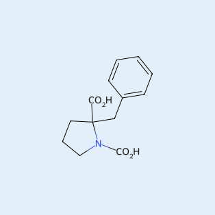 O=C(O)N1CCCC1(Cc1ccccc1)C(=O)O